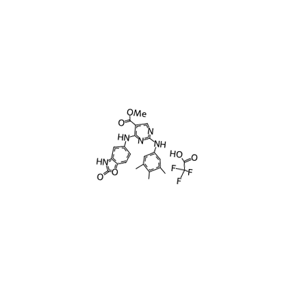 COC(=O)c1cnc(Nc2cc(C)c(C)c(C)c2)nc1Nc1ccc2oc(=O)[nH]c2c1.O=C(O)C(F)(F)F